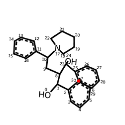 OC(c1ccccc1)C(CC(c1ccccc1)N1CCCCC1)C(O)c1ccccc1